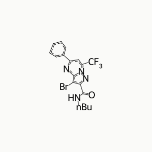 CCCCNC(=O)c1nn2c(C(F)(F)F)cc(-c3ccccc3)nc2c1Br